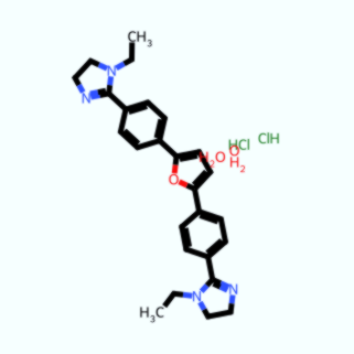 CCN1CCN=C1c1ccc(-c2ccc(-c3ccc(C4=NCCN4CC)cc3)o2)cc1.Cl.Cl.O.O